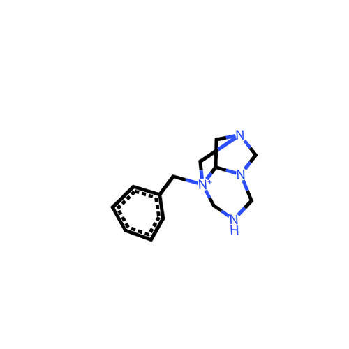 c1ccc(C[N+]23CNCN4CN(CC42)C3)cc1